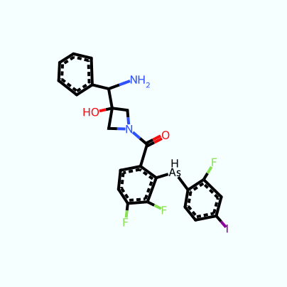 NC(c1ccccc1)C1(O)CN(C(=O)c2ccc(F)c(F)c2[AsH]c2ccc(I)cc2F)C1